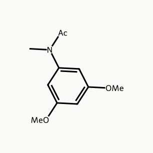 COc1cc(OC)cc(N(C)C(C)=O)c1